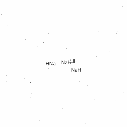 [LiH].[NaH].[NaH].[NaH]